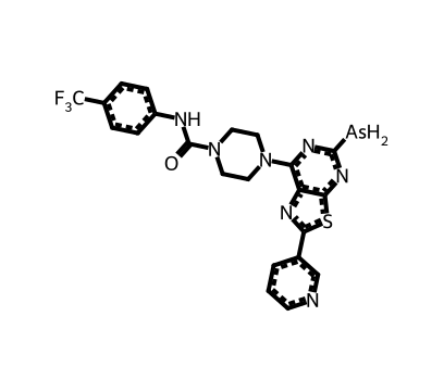 O=C(Nc1ccc(C(F)(F)F)cc1)N1CCN(c2nc([AsH2])nc3sc(-c4cccnc4)nc23)CC1